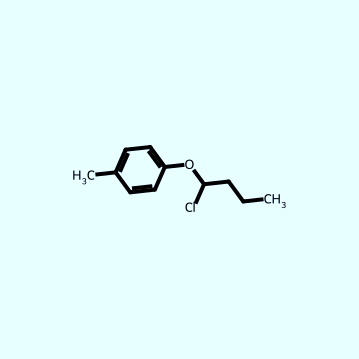 CCCC(Cl)Oc1ccc(C)cc1